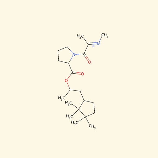 C/N=C(\C)C(=O)N1CCCC1C(=O)OC(C)CC1CCC(C)(C)C1(C)C